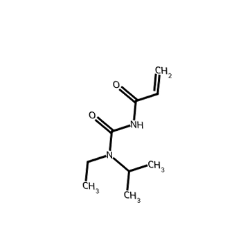 C=CC(=O)NC(=O)N(CC)C(C)C